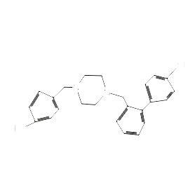 CC(C)(C)c1ccc(CN2CCN(Cc3ccccc3-c3ccc(Cl)cc3)CC2)cc1